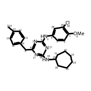 COc1ccc(Nc2nc(Cc3ccc(I)cc3)nc(NC3CCCCCC3)n2)cc1Cl